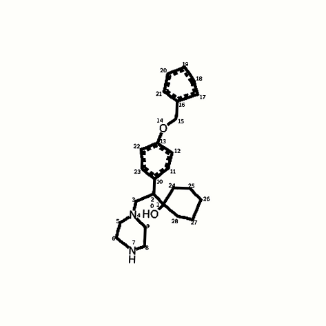 OC1(C(CN2CCNCC2)c2ccc(OCc3ccccc3)cc2)CCCCC1